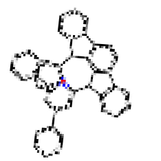 c1ccc(-c2cc(-c3ccccc3)nc(C3c4ccccc4-c4ccc5c(c43)C(c3ccccc3)c3ccccc3-5)c2)cc1